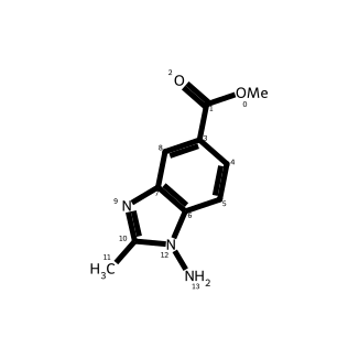 COC(=O)c1ccc2c(c1)nc(C)n2N